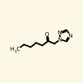 CCCCCC(=O)Cn1cncn1